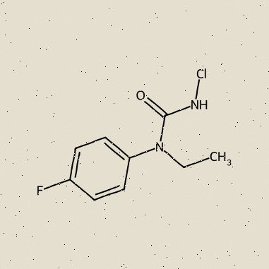 CCN(C(=O)NCl)c1ccc(F)cc1